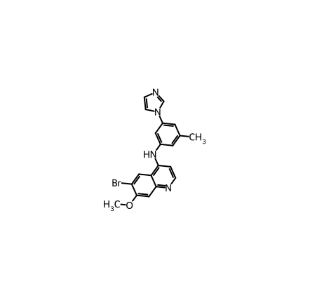 COc1cc2nccc(Nc3cc(C)cc(-n4ccnc4)c3)c2cc1Br